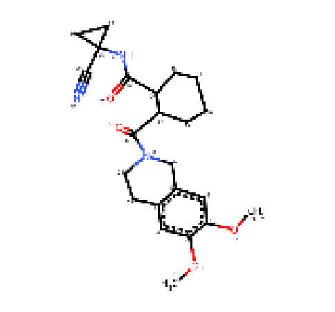 COc1cc2c(cc1OC)CN(C(=O)C1CCCCC1C(=O)NC1(C#N)CC1)CC2